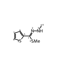 CSC(=NNI)c1cccs1